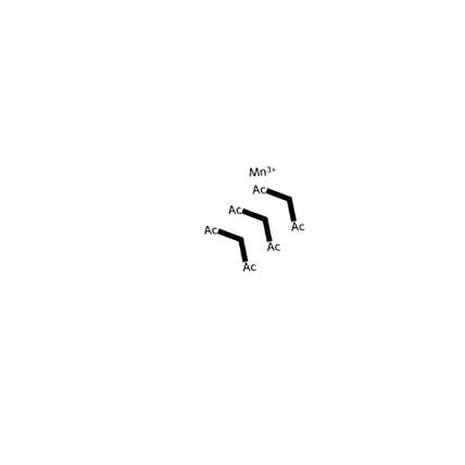 CC(=O)CC(C)=O.CC(=O)CC(C)=O.CC(=O)CC(C)=O.[Mn+3]